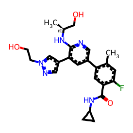 Cc1cc(F)c(C(=O)NC2CC2)cc1-c1cnc(N[C@@H](C)CO)c(-c2cnn(CCO)c2)c1